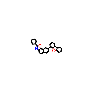 c1ccc(-c2nc3ccc4ccc(-c5cccc6c5oc5ccccc56)cc4c3o2)cc1